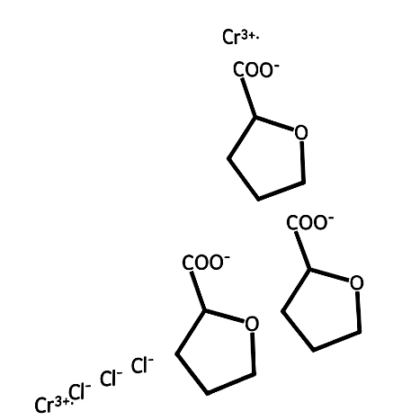 O=C([O-])C1CCCO1.O=C([O-])C1CCCO1.O=C([O-])C1CCCO1.[Cl-].[Cl-].[Cl-].[Cr+3].[Cr+3]